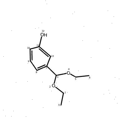 CCOC(OCC)c1cccc(O)c1